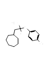 CC(C)(CC1CCCCCC1)Sc1ccc([O])cc1